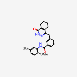 COc1ccc(C(C)(C)C)cc1NC(=O)c1cccc(Cc2n[nH]c(=O)c3c2CCCC3)c1